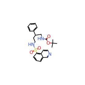 CC(C)(C)OC(=O)NCC(CCNS(=O)(=O)c1cccc2cnccc12)c1ccccc1